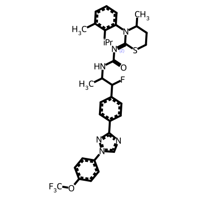 Cc1cccc(N2/C(=N/C(=O)NC(C)C(F)c3ccc(-c4ncn(-c5ccc(OC(F)(F)F)cc5)n4)cc3)SCCC2C)c1C(C)C